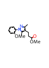 COC(=O)CCc1c(C)nn(-c2ccccc2OC)c1C